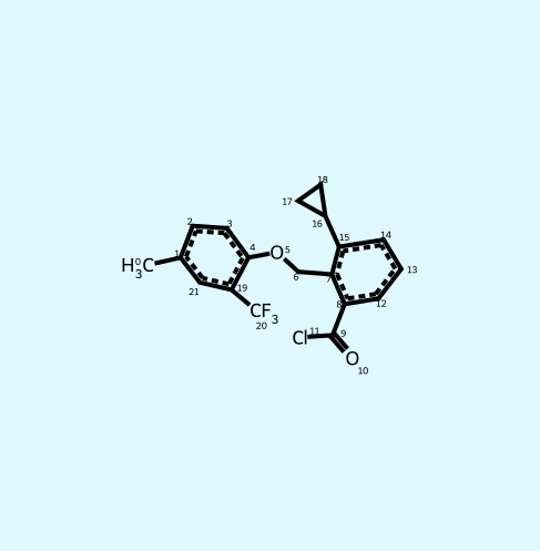 Cc1ccc(OCc2c(C(=O)Cl)cccc2C2CC2)c(C(F)(F)F)c1